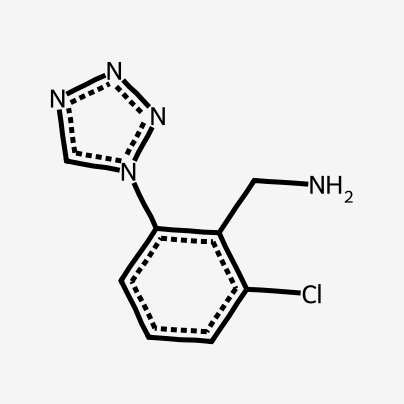 NCc1c(Cl)cccc1-n1cnnn1